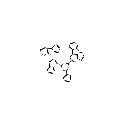 C1=Cc2c(n(-c3cc(-c4nc(-c5ccccc5)nc(-c5cc6c7c(cccc7c5)-c5ccccc5-6)n4)c4ccccc4c3)c3ccccc23)CC1